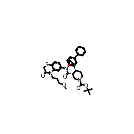 COCCCN1C(=O)CSc2ccc(N(C(=O)[C@H]3CN(C(=O)OC(C)(C)C)CC[C@@H]3c3cccc(-c4ccccc4)c3)C3CC3)cc21